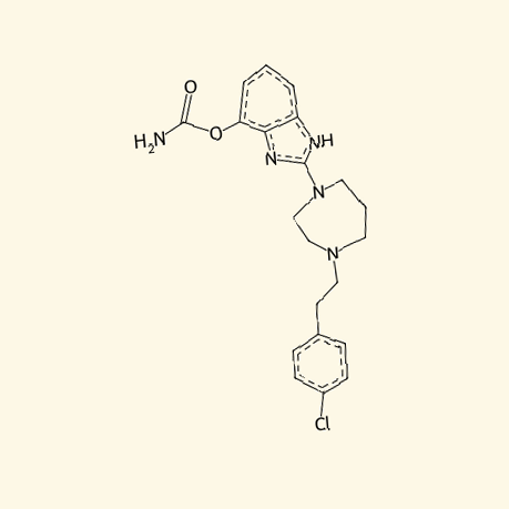 NC(=O)Oc1cccc2[nH]c(N3CCCN(CCc4ccc(Cl)cc4)CC3)nc12